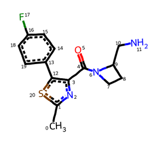 Cc1nc(C(=O)N2CCC2CN)c(-c2ccc(F)cc2)s1